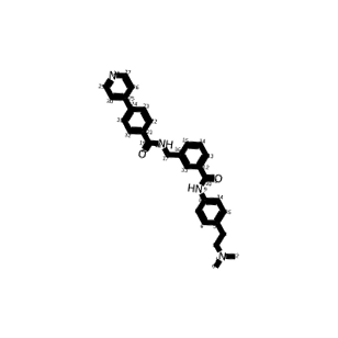 CN(C)CCc1ccc(NC(=O)c2cccc(CNC(=O)c3ccc(-c4ccncc4)cc3)c2)cc1